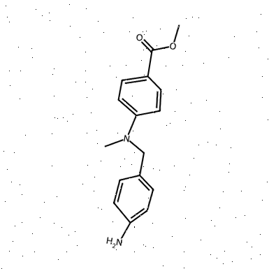 COC(=O)c1ccc(N(C)Cc2ccc(N)cc2)cc1